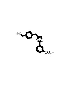 CC(C)Cc1ccc(Cc2csc(-c3cccc(C(=O)O)c3)n2)cc1